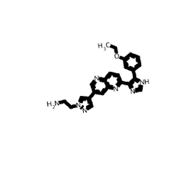 CCOc1cccc(-c2[nH]cnc2-c2ccc3ncc(-c4cnn(CCN)c4)cc3n2)c1